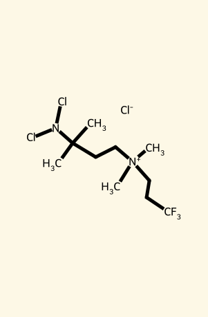 CC(C)(CC[N+](C)(C)CCC(F)(F)F)N(Cl)Cl.[Cl-]